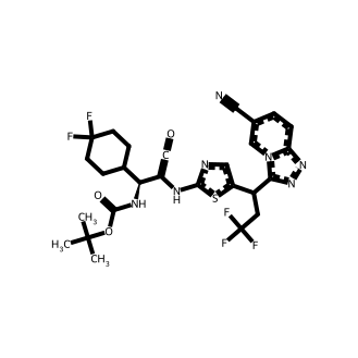 CC(C)(C)OC(=O)N[C@H](C(=C=O)Nc1ncc(C(CC(F)(F)F)c2nnc3ccc(C#N)cn23)s1)C1CCC(F)(F)CC1